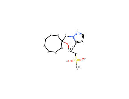 Cc1ccnn1CC1(OCCS(C)(=O)=O)CCCCCCC1